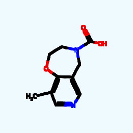 Cc1cncc2c1OCCN(C(=O)O)C2